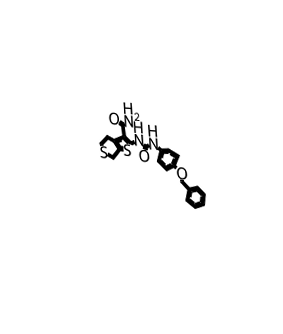 NC(=O)c1c(NC(=O)Nc2ccc(OCc3ccccc3)cc2)sc2c1CCSC2